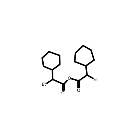 CCC(C(=O)OC(=O)C(CC)C1CCCCC1)C1CCCCC1